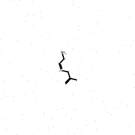 C=C(C)C/N=C\CN